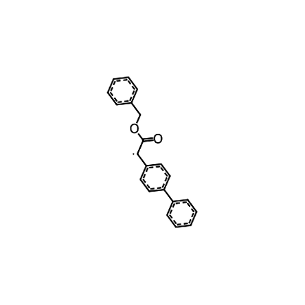 O=C([CH]c1ccc(-c2ccccc2)cc1)OCc1ccccc1